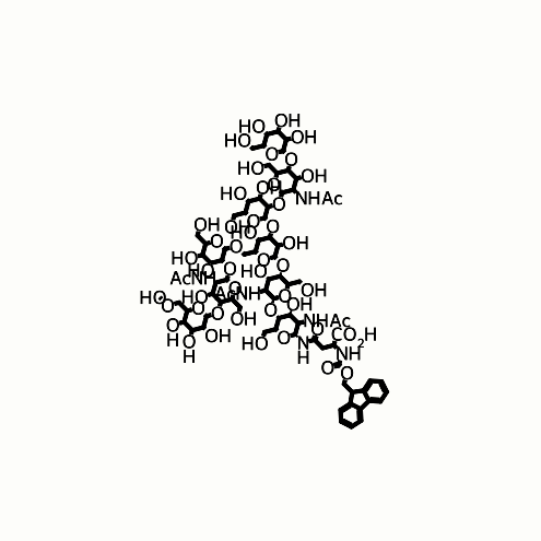 CC(=O)NC1C(OC2C(OCC3OC(O[C@@H]4C(CO)O[C@@H](O[C@@H]5C(CO)O[C@@H](NC(=O)CC(NC(=O)OCC6c7ccccc7-c7ccccc76)C(=O)O)C(NC(C)=O)[C@H]5O)C(NC(C)=O)[C@H]4O)C(O)C(OC4OC(CO)C(O)C(O)C4OC4OC(CO)C(OC5OC(CO)C(O)C(O)C5O)C(O)C4NC(C)=O)C3O)OC(CO)C(O)C2O)OC(CO)C(OC2OC(COO)C(O)C(O)C2O)C1O